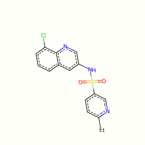 CCc1ccc(S(=O)(=O)Nc2cnc3c(Cl)cccc3c2)cn1